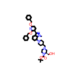 Cn1nc(-c2ccc(OCc3ccccc3)nc2OCc2ccccc2)c2cccc(N3CCC(CN4CCN(C(=O)OC(C)(C)C)[C@H](CO)C4)CC3)c21